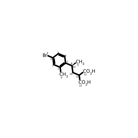 Cc1cc(Br)ccc1[C@@H](C)CC(C(=O)O)C(=O)O